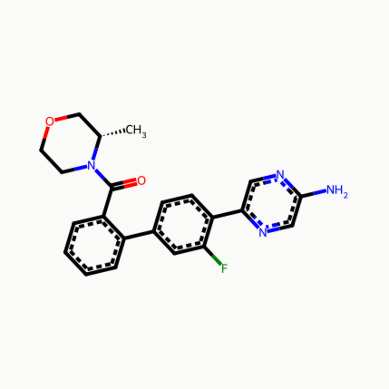 C[C@H]1COCCN1C(=O)c1ccccc1-c1ccc(-c2cnc(N)cn2)c(F)c1